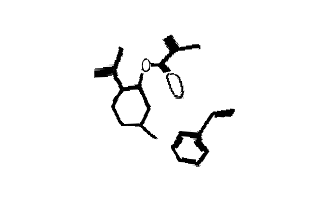 C=C(C)C(=O)OC1CC(C)CCC1C(C)C.C=Cc1ccccc1